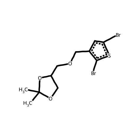 CC1(C)OCC(COCc2cc(Br)sc2Br)O1